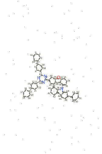 c1ccc(-c2ccc(-c3nc(-c4ccc(-c5ccccc5)cc4)nc(-c4ccc5c(c4)oc4cccc(-n6c7ccccc7c7ccc(-c8ccccc8)cc76)c45)n3)cc2)cc1